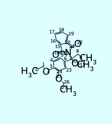 CCOc1ccc(C(CC)(OC)N2C(=O)c3ccccc3C2=O)cc1OCC